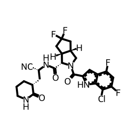 N#C[C@@H](C[C@H]1CCCNC1=O)NC(=O)[C@@H]1[C@@H]2CC(F)(F)C[C@@H]2CN1C(=O)c1cc2c(F)cc(F)c(Cl)c2[nH]1